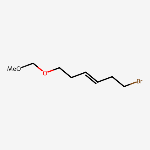 COCOCC/C=C/CCBr